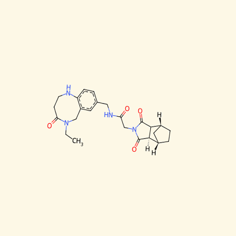 CCN1Cc2cc(CNC(=O)CN3C(=O)C4[C@@H]5CC[C@@H](C5)[C@H]4C3=O)ccc2NCCC1=O